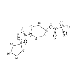 CCC1(OC(=O)N2CCC(OC(=O)C(C)(C)CC)CC2)CCCC1